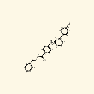 O=C(NCCc1ccccn1)c1ccc(Nc2nccc(-c3ccc(Cl)cc3)n2)cc1